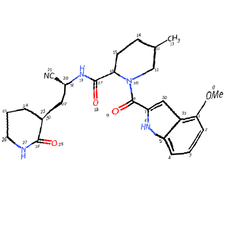 COc1cccc2[nH]c(C(=O)N3CC(C)CCC3C(=O)N[C@H](C#N)C[C@@H]3CCCNC3=O)cc12